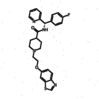 O=C(N[C@@H](c1ccc(F)cc1)c1ccccn1)C1CCN(CCOc2ccc3ncsc3c2)CC1